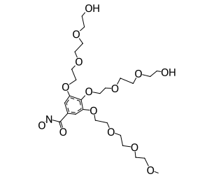 COCCOCCOCCOc1cc(C(=O)N=O)cc(OCCOCCOCCO)c1OCCOCCOCCO